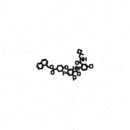 COc1cc(F)c(OC2CCC(C(=O)OCc3cccc4ccccc34)CC2)cc1C(=O)Nc1ccc(Cl)cc1C(=O)NCC1(C)CCC1